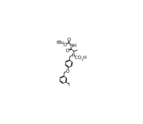 CC(C(=O)NC(=O)OC(C)(C)C)N(Cc1ccc(OCc2cccc(I)c2)cc1)C(=O)O